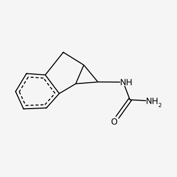 NC(=O)NC1C2Cc3ccccc3C21